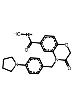 O=C(NO)c1ccc2c(c1)N(Cc1ccc(N3CCCC3)cc1)C(=O)CO2